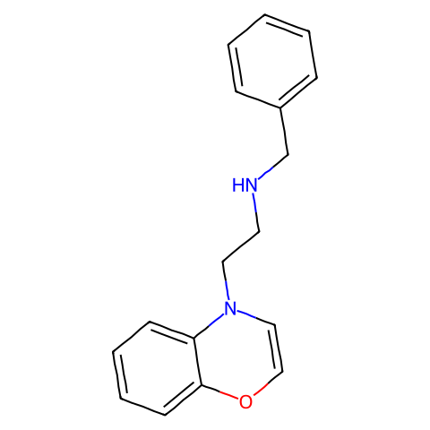 C1=CN(CCNCc2ccccc2)c2ccccc2O1